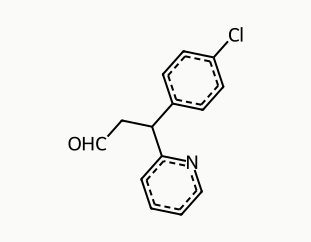 O=CCC(c1ccc(Cl)cc1)c1ccccn1